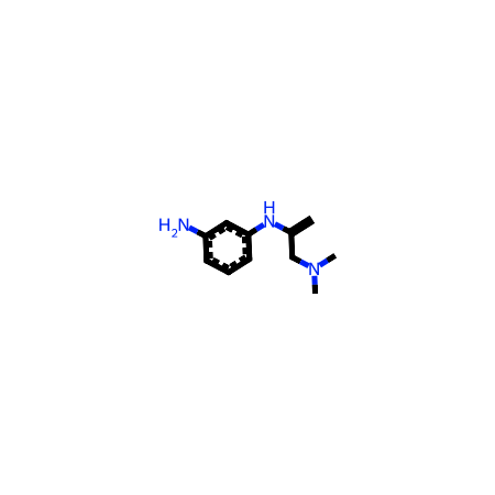 C=C(CN(C)C)Nc1cccc(N)c1